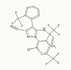 C=CC1(C(F)(F)F)Nc2c(-c3ccccc3C(F)(F)F)c(C#N)nn2-c2c(Cl)cc(C(F)(F)F)cc21